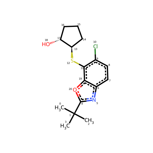 CC(C)(C)c1nc2ccc(Cl)c(S[C@@H]3CCC[C@H]3O)c2o1